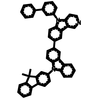 CC1(C)c2ccccc2-c2ccc(-n3c4ccccc4c4cc(-c5ccc6c(c5)c5cnccc5n6-c5cccc(-c6ccccc6)c5)ccc43)cc21